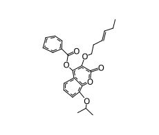 CC/C=C/CCOc1c(OC(=O)c2ccccc2)c2cccc(OC(C)C)c2oc1=O